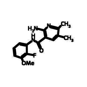 COc1cccc(NC(=O)c2cc(C)c(C)nc2N)c1F